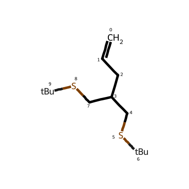 C=CCC(CSC(C)(C)C)CSC(C)(C)C